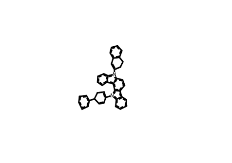 C1=CC(c2ccccc2)CC=C1n1c2ccccc2c2ccc3c(c4ccccc4n3C3=Cc4ccccc4CC3)c21